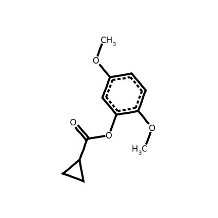 COc1ccc(OC)c(OC(=O)C2CC2)c1